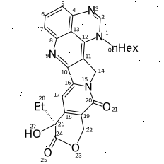 CCCCCCN1C=Nc2cccc3nc4c(c1c23)Cn1c-4cc2c(c1=O)COC(=O)[C@]2(O)CC